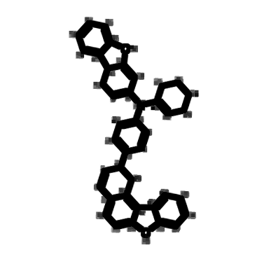 C1=CC(c2ccc(N(C3=CCC4C(=C3)Oc3ccccc34)C3=CCCCC3)cc2)Cc2c1ccc1oc3ccccc3c21